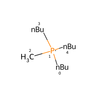 CCCC[P](C)(CCCC)CCCC